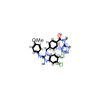 COc1ccc(N=c2n(C)c3cc(Cl)c(Cl)cc3n2Cc2ccc(C(=O)N(C)c3nnn[nH]3)cc2)cc1